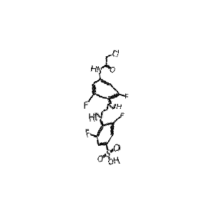 O=C(CCl)Nc1cc(F)c(NNc2c(F)cc(S(=O)(=O)O)cc2F)c(F)c1